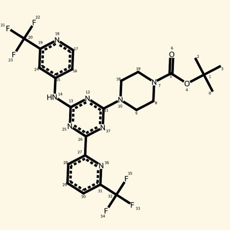 CC(C)(C)OC(=O)N1CCN(c2nc(Nc3ccnc(C(F)(F)F)c3)nc(-c3cccc(C(F)(F)F)n3)n2)CC1